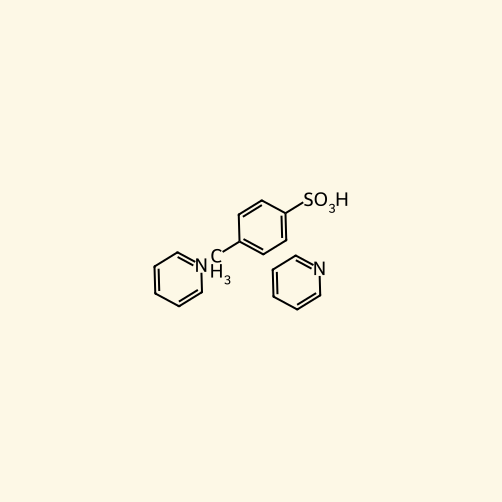 Cc1ccc(S(=O)(=O)O)cc1.c1ccncc1.c1ccncc1